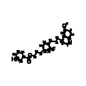 COc1ccc2nccc(CCCc3ccc(CCCOC(=O)[C@@H]4CCCNC4)cc3F)c2c1